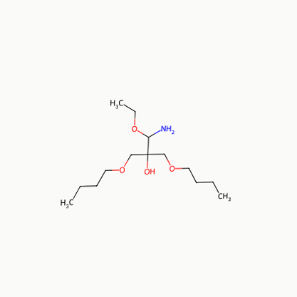 CCCCOCC(O)(COCCCC)C(N)OCC